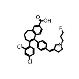 O=C(O)c1ccc2c(c1)CCCC(c1ccc(Cl)cc1Cl)=C2c1ccc(C=C2CCN(CCCF)C2)cc1